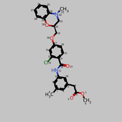 COC(=O)Cc1cc(C)cc(NC(=O)c2ccc(OC[C@@H]3CN(C)c4ccccc4O3)cc2Cl)c1